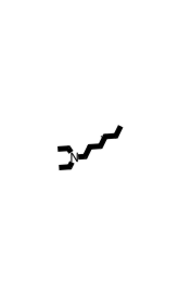 CC[CH]CCCN(CC)CC